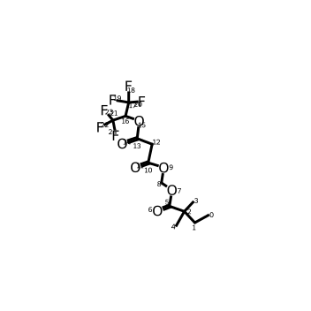 CCC(C)(C)C(=O)OCOC(=O)CC(=O)OC(C(F)(F)F)C(F)(F)F